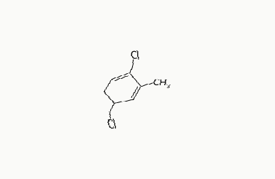 CC1=CC(Cl)CC=C1Cl